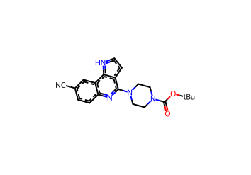 CC(C)(C)OC(=O)N1CCN(c2nc3ccc(C#N)cc3c3[nH]ccc23)CC1